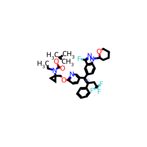 CCN(C(=O)OC(C)(C)C)C1(COc2ccc(/C(=C(/CC(F)(F)F)c3ccccc3)c3ccc4c(c3)c(F)nn4C3CCCCO3)cn2)CC1